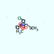 CCOC(=O)c1c(CCCSC)c2ccc(Cl)cc2n1S(=O)(=O)c1ccccc1